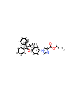 CCOC(=O)c1cn([C@H]2CC[C@@H](O[Si](c3ccccc3)(c3ccccc3)C(C)(C)C)CC2)cn1